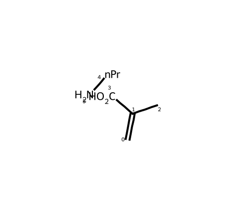 C=C(C)C(=O)O.CCCN